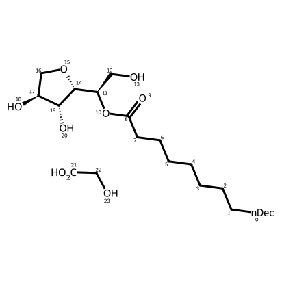 CCCCCCCCCCCCCCCCCC(=O)O[C@H](CO)[C@H]1OC[C@H](O)[C@H]1O.O=C(O)CO